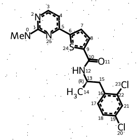 CNc1nccc(-c2ccc(C(=O)N[C@H](C)Cc3ccc(Cl)cc3Cl)s2)n1